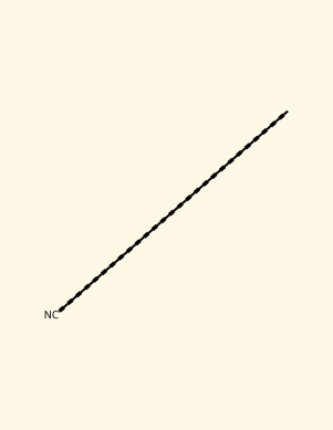 CC#CC#CC#CC#CC#CC#CC#CC#CC#CC#CC#CC#CC#CC#CC#CC#CC#CC#CC#CC#CC#CC#CC#CC#CC#CC#CC#CC#N